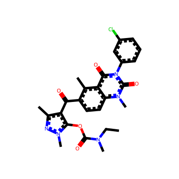 CCN(C)C(=O)Oc1c(C(=O)c2ccc3c(c2C)c(=O)n(-c2cccc(Cl)c2)c(=O)n3C)c(C)nn1C